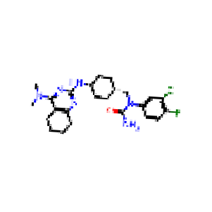 CN(C)c1nc(N[C@H]2CC[C@@H](CN(C(N)=O)c3ccc(F)c(Cl)c3)CC2)nc2c1CCCC2